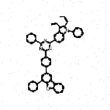 C=Cc1c(/C=C\C)n(-c2ccccc2)c2ccc(-c3nc(-c4ccccc4)nc(-c4ccc(-c5cc(-c6ccccc6)c6oc7ccccc7c6c5)cc4)n3)cc12